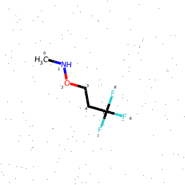 CNOCCC(F)(F)F